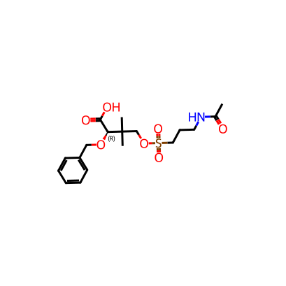 CC(=O)NCCCS(=O)(=O)OCC(C)(C)[C@@H](OCc1ccccc1)C(=O)O